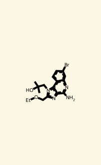 CCOCc1nc2c(N)nc3cc(Br)ccc3c2n1CC(C)(C)O